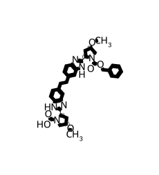 CO[C@@H]1C[C@@H](c2nc3cc(CCc4ccc5nc([C@@H]6C[C@@H](OC)CN6C(=O)OCc6ccccc6)[nH]c5c4)ccc3[nH]2)N(C(=O)O)C1